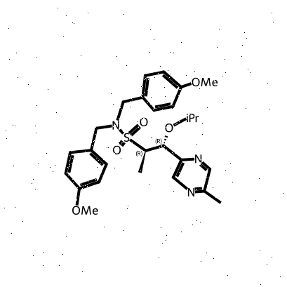 COc1ccc(CN(Cc2ccc(OC)cc2)S(=O)(=O)[C@H](C)[C@H](OC(C)C)c2cnc(C)cn2)cc1